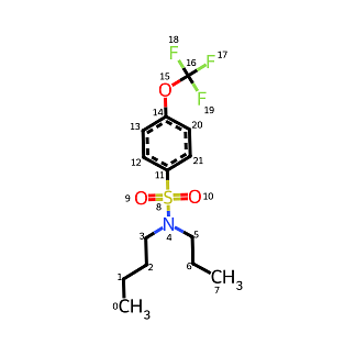 CCCCN(CCC)S(=O)(=O)c1ccc(OC(F)(F)F)cc1